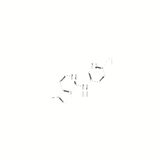 Cc1csc2c(Nc3ccc(Cl)nc3)nccc12